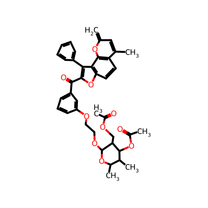 C=C1C=C(C)c2ccc3oc(C(=O)c4cccc(OCCOC5OC(C)C(C)C(OC(C)=O)C5COC(C)=O)c4)c(-c4ccccc4)c3c2O1